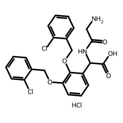 Cl.NCC(=O)NC(C(=O)O)c1cccc(OCc2ccccc2Cl)c1OCc1ccccc1Cl